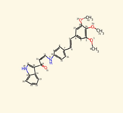 COc1cc(/C=C/c2ccc(N/C=C\C(=O)c3c[nH]c4ccccc34)cc2)cc(OC)c1OC